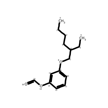 CCCCC(CC)COc1cccc(OC=O)c1